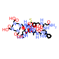 CSCC[C@H](NC(=O)[C@H](CC(C)C)NC(=O)[C@H](Cc1c[nH]cn1)NC(=O)CN)C(=O)NC(=O)[C@@H](NC(=O)[C@H](C)NC(=O)[C@H](Cc1c[nH]c2ccccc12)NC(=O)[C@H](CCC(N)=O)NC(=O)Cc1ccc(NC(=O)CNC(=O)CN2CCN(CC(=O)O)CCN(CC(=O)O)CCN(CC(=O)O)CC2)cc1)C(C)C